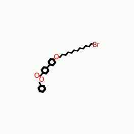 O=C(OCc1ccccc1)c1ccc(-c2ccc(OCCCCCCCCCCCCBr)cc2)cc1